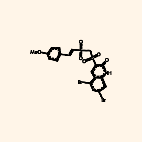 COc1ccc(C=CS(=O)(=O)CS(=O)(=O)c2cc3c(Br)cc(Br)cc3[nH]c2=O)cc1